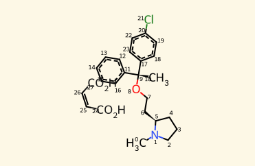 CN1CCC[C@@H]1CCO[C@](C)(c1ccccc1)c1ccc(Cl)cc1.O=C(O)/C=C\C(=O)O